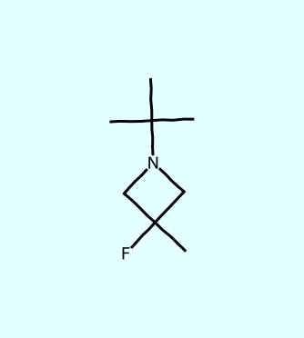 CC1(F)CN(C(C)(C)C)C1